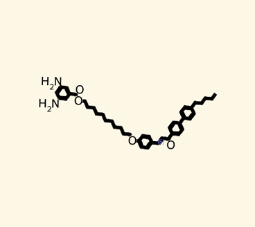 CCCCCc1ccc(-c2ccc(C(=O)/C=C/c3ccc(OCCCCCCCCCCCOC(=O)c4cc(N)cc(N)c4)cc3)cc2)cc1